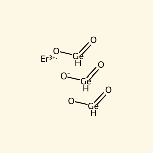 [Er+3].[O]=[GeH][O-].[O]=[GeH][O-].[O]=[GeH][O-]